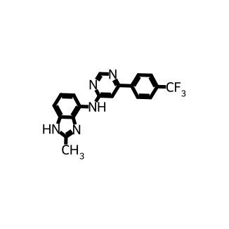 Cc1nc2c(Nc3cc(-c4ccc(C(F)(F)F)cc4)ncn3)cccc2[nH]1